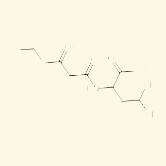 CCOC(=O)CC(=O)NC(CC(C)C)C(=O)O